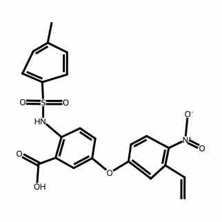 C=Cc1cc(Oc2ccc(NS(=O)(=O)c3ccc(C)cc3)c(C(=O)O)c2)ccc1[N+](=O)[O-]